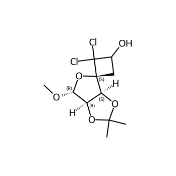 CO[C@@H]1O[C@@]2(CC(O)C2(Cl)Cl)[C@H]2OC(C)(C)O[C@@H]12